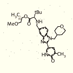 COC[C@H](C)OC(=O)C(NCc1ccc2c(c1)nc(-c1c[nH]c(=O)c(C)c1)n2CC1CCOCC1)C(C)(C)C